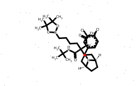 CC(=O)NC(CCCCB1OC(C)(C)C(C)(C)O1)(C(=O)NC(C)(C)C)C1C[C@H]2CC[C@@H](C1)N2Cc1ccc(Cl)c(Cl)c1